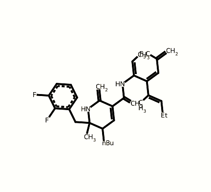 C=C(NC(=C/C)/C(=C\C(=C)C(F)(F)F)C(/C)=C/CC)C1=CC(CCCC)C(C)(Cc2cccc(F)c2F)NC1=C